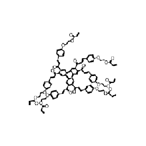 C=CC(=O)OCCOc1ccc(/C=C/C(=O)c2cc3c4cc(C(=O)/C=C/c5ccc(OCCOC(=O)C=C)cc5)c(C(=O)/C=C/c5ccc(OCCOC(=O)C=C)cc5)cc4c4cc(C(=O)/C=C/c5ccc(OCCOC(=O)C=C)cc5)c(C(=O)/C=C/c5ccc(OCCOC(=O)C=C)cc5)cc4c3cc2C(=O)/C=C/c2ccc(OCCOC(=O)C=C)cc2)cc1